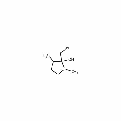 CC1CCP(C)C1(O)CBr